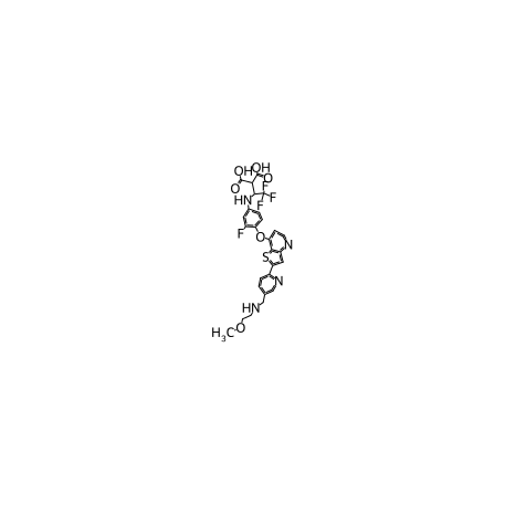 COCCNCc1ccc(-c2cc3nccc(Oc4ccc(NC(C(C(=O)O)C(=O)O)C(F)(F)F)cc4F)c3s2)nc1